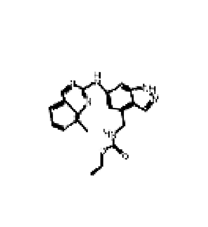 CCOC(=O)NCc1cc(Nc2ncc3cccc(C)c3n2)cc2[nH]ncc12